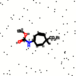 CCOC(=O)C1(C)C#CC=C(NC(=O)OC(C)(C)C)C=C1